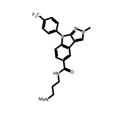 CNCCCNC(=O)c1ccc2c(c1)c1cn(C)nc1n2-c1ccc(C(F)(F)F)cc1